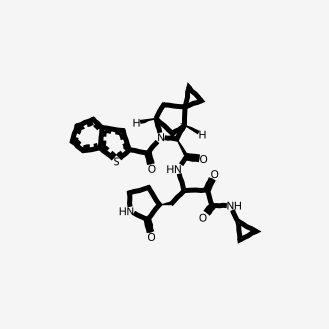 O=C(NC1CC1)C(=O)C(C[C@@H]1CCNC1=O)NC(=O)[C@@H]1[C@@H]2C[C@@H](CC23CC3)N1C(=O)c1cc2ccccc2s1